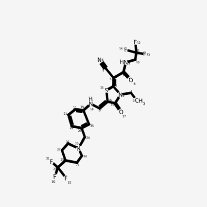 CCn1c(=C(C#N)C(=O)NCC(F)(F)F)sc(=CNc2cccc(CN3CCC(C(F)(F)F)CC3)c2)c1=O